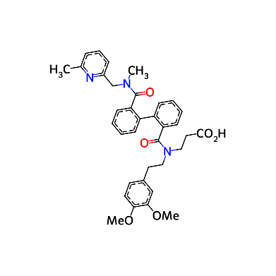 COc1ccc(CCN(CCC(=O)O)C(=O)c2ccccc2-c2ccccc2C(=O)N(C)Cc2cccc(C)n2)cc1OC